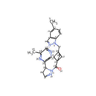 Cc1ccc2c(cnn2CC23CC(C(=O)N4N=CCC4c4cncc(C)n4)(C2)C3)c1